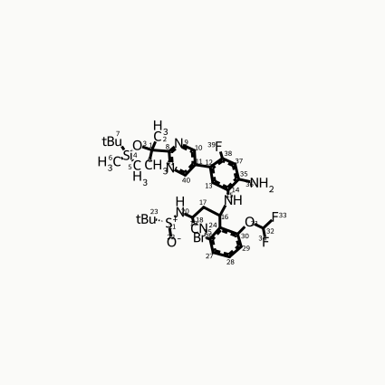 CC(C)(O[Si](C)(C)C(C)(C)C)c1ncc(-c2cc(NC(CC(C#N)N[S@+]([O-])C(C)(C)C)c3c(Br)cccc3OC(F)F)c(N)cc2F)cn1